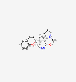 CN1CCC[C@H]1C(C(N)=O)C(C)(C)[C@@H]1CCc2ccccc2O1